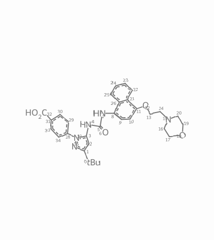 CC(C)(C)c1cc(NC(=O)Nc2ccc(OCCN3CCOCC3)c3ccccc23)n(-c2ccc(C(=O)O)cc2)n1